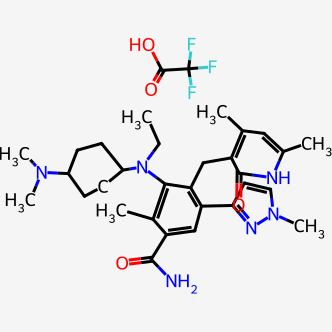 CCN(c1c(C)c(C(N)=O)cc(-c2ccn(C)n2)c1Cc1c(C)cc(C)[nH]c1=O)C1CCC(N(C)C)CC1.O=C(O)C(F)(F)F